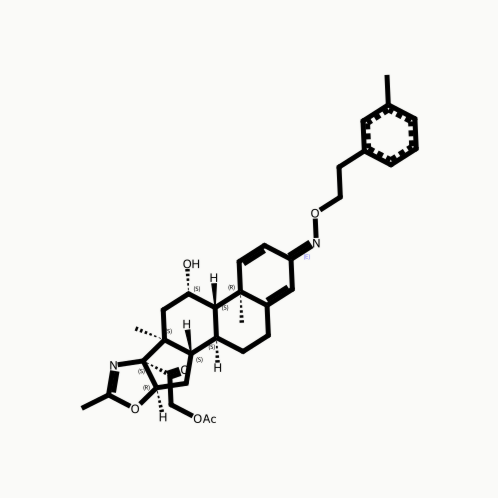 CC(=O)OCC(=O)[C@@]12N=C(C)O[C@@H]1C[C@H]1[C@@H]3CCC4=C/C(=N/OCCc5cccc(C)c5)C=C[C@]4(C)[C@H]3[C@@H](O)C[C@@]12C